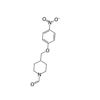 O=CN1CCC(COc2ccc([N+](=O)[O-])cc2)CC1